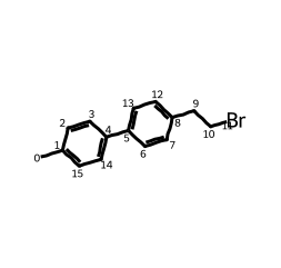 Cc1ccc(-c2ccc(CCBr)cc2)cc1